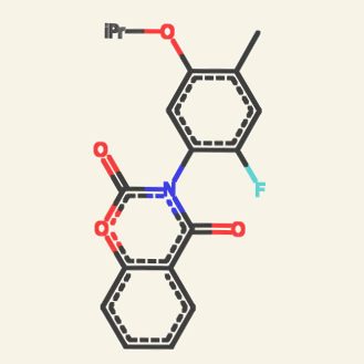 Cc1cc(F)c(-n2c(=O)oc3ccccc3c2=O)cc1OC(C)C